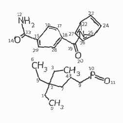 CCC(CC)(CC)CCCP=O.NC(=O)c1ccc(C(=O)n2c3ccc2cc3)cc1